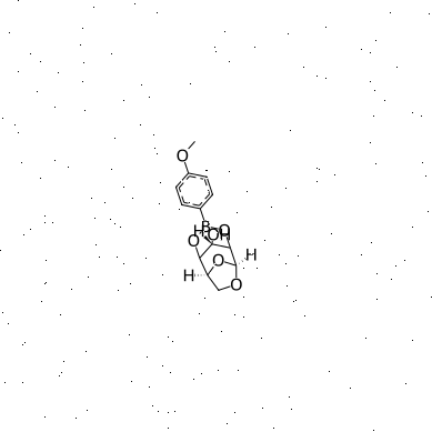 COc1ccc(B2OC3[C@H]4OC[C@H](O4)C(O2)[C@@H]3O)cc1